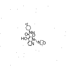 O=C(NC1CCC2(CC1)CC2)c1c(O)c2cccnc2n(CCN2CCOCC2)c1=O